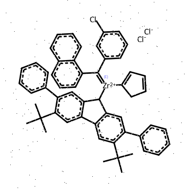 CC(C)(C)c1cc2c(cc1-c1ccccc1)[CH](/[Zr+2]([C]1=CC=CC1)=[C](/c1cccc(Cl)c1)c1cccc3ccccc13)c1cc(-c3ccccc3)c(C(C)(C)C)cc1-2.[Cl-].[Cl-]